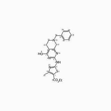 CCOC(=O)c1sc(Nc2nc(O)c3c(n2)CN(Cc2ccccc2)CC3)nc1C